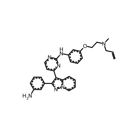 C=CCN(C)CCOc1cccc(Nc2nccc(-c3c(-c4cccc(N)c4)nn4ccccc34)n2)c1